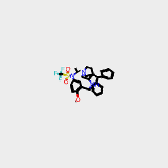 COc1ccc(N(C(C)C)S(=O)(=O)C(F)(F)F)cc1CNC1CN2CCC1(C(c1ccccc1)c1ccccc1)C2